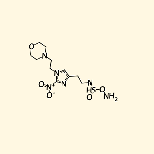 NO[SH](=O)=NCCc1cn(CCN2CCOCC2)c([N+](=O)[O-])n1